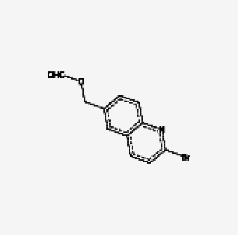 O=COCc1ccc2nc(Br)ccc2c1